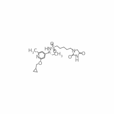 CC[C@@H](NS(=O)(=O)CCCCCN1CC(=O)NC1=O)c1cc(C)nc(OCC2CC2)c1